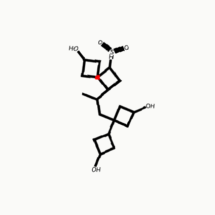 CC(CC1(C2CC(O)C2)CC(O)C1)C1(C2CC(O)C2)CC([SH](=O)=O)C1